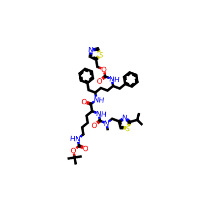 CC(C)c1nc(CN(C)C(=O)NC(CCCCNC(=O)OC(C)(C)C)C(=O)NC(CCC(Cc2ccccc2)NC(=O)OCc2cncs2)Cc2ccccc2)cs1